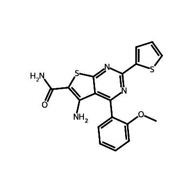 COc1ccccc1-c1nc(-c2cccs2)nc2sc(C(N)=O)c(N)c12